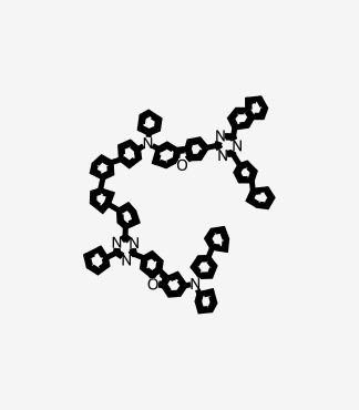 c1ccc(-c2ccc(-c3nc(-c4ccc5ccccc5c4)nc(-c4ccc5c(c4)oc4ccc(N(c6ccccc6)c6ccc(-c7cccc(-c8cccc(-c9cccc(-c%10nc(-c%11ccccc%11)nc(-c%11ccc%12c(c%11)oc%11ccc(N(c%13ccccc%13)c%13ccc(-c%14ccccc%14)cc%13)cc%11%12)n%10)c9)c8)c7)cc6)cc45)n3)cc2)cc1